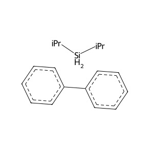 CC(C)[SiH2]C(C)C.c1ccc(-c2ccccc2)cc1